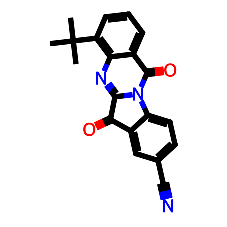 CC(C)(C)c1cccc2c(=O)n3c(nc12)C(=O)c1cc(C#N)ccc1-3